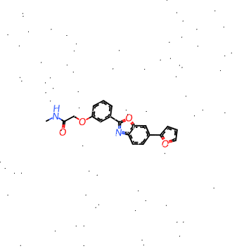 CNC(=O)COc1cccc(-c2nc3ccc(-c4ccco4)cc3o2)c1